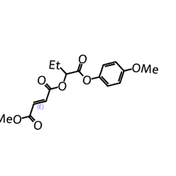 CCC(OC(=O)/C=C/C(=O)OC)C(=O)Oc1ccc(OC)cc1